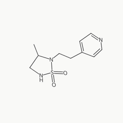 CC1CNS(=O)(=O)N1CCc1ccncc1